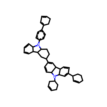 C1=CCCC(c2ccc(N3C4C=CC=CC4C4CC(C5=CC6C7C=CC(C8C=CCCC8)=CC7N(C7CC=CCC7)C6C=C5)CCC43)cc2)=C1